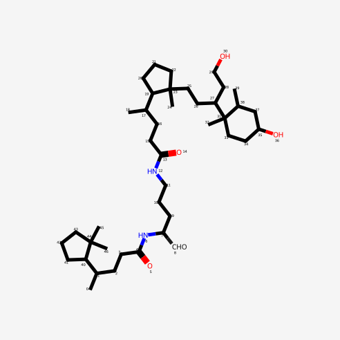 CC(CCC(=O)NC(C=O)CCCNC(=O)CCC(C)C1CCCC1(C)CCC(CCO)C1(C)CCC(O)CC1C)C1CCCC1(C)C